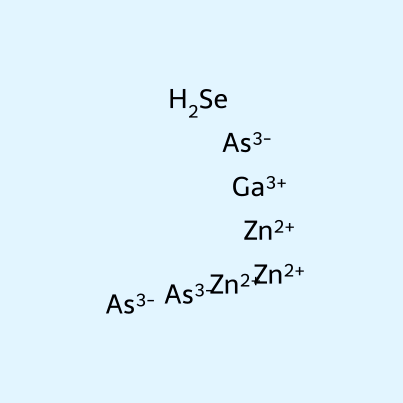 [As-3].[As-3].[As-3].[Ga+3].[SeH2].[Zn+2].[Zn+2].[Zn+2]